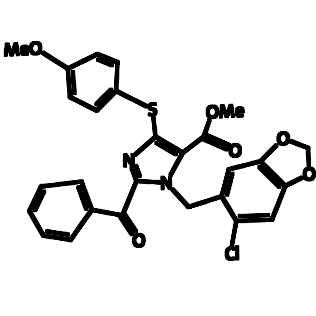 COC(=O)c1c(Sc2ccc(OC)cc2)nc(C(=O)c2ccccc2)n1Cc1cc2c(cc1Cl)OCO2